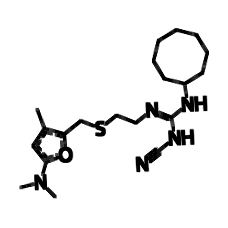 Cc1cc(N(C)C)oc1CSCCN=C(NC#N)NC1CCCCCCC1